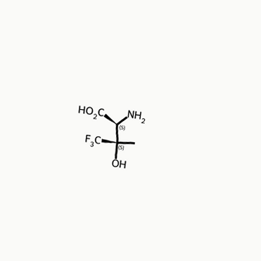 C[C@](O)([C@H](N)C(=O)O)C(F)(F)F